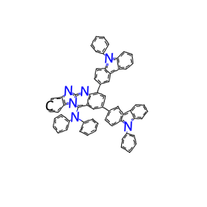 c1ccc(N(c2ccccc2)c2c3cc(-c4ccc5c(c4)c4ccccc4n5-c4ccccc4)cc(-c4ccc5c(c4)c4ccccc4n5-c4ccccc4)c3nc3nc4ccccc4n23)cc1